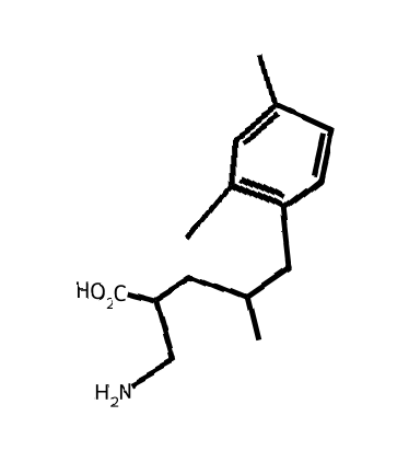 Cc1ccc(CC(C)CC(CN)C(=O)O)c(C)c1